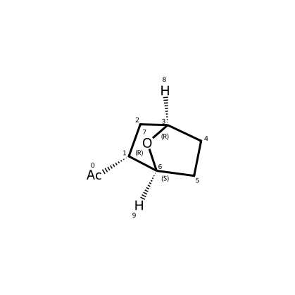 CC(=O)[C@@H]1C[C@H]2CC[C@@H]1O2